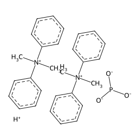 C[N+](C)(c1ccccc1)c1ccccc1.C[N+](C)(c1ccccc1)c1ccccc1.[H+].[O-]P([O-])[O-]